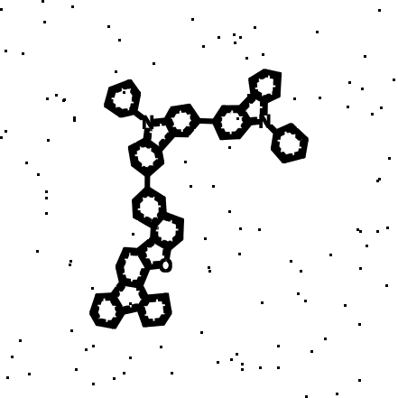 c1ccc(-n2c3ccccc3c3cc(-c4ccc5c(c4)c4cc(-c6ccc7c(ccc8oc9c(ccc%10c%11ccccc%11c%11ccccc%11c%109)c87)c6)ccc4n5-c4ccccc4)ccc32)cc1